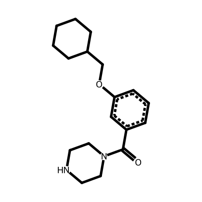 O=C(c1cccc(OCC2CCCCC2)c1)N1CCNCC1